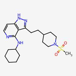 CS(=O)(=O)N1CCC(CCc2n[nH]c3ccnc(NC4CCCCC4)c23)CC1